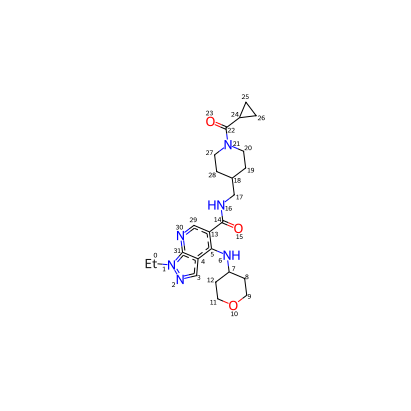 CCn1ncc2c(NC3CCOCC3)c(C(=O)NCC3CCN(C(=O)C4CC4)CC3)cnc21